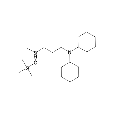 C[SiH](CCCN(C1CCCCC1)C1CCCCC1)O[Si](C)(C)C